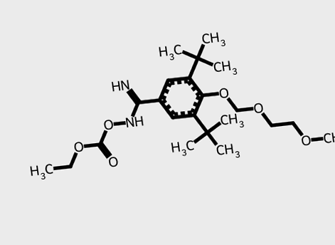 CCOC(=O)ONC(=N)c1cc(C(C)(C)C)c(OCOCCOC)c(C(C)(C)C)c1